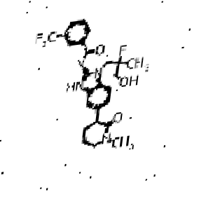 CN1CCCC(c2ccc3c(c2)[nH]c(=NC(=O)c2cccc(C(F)(F)F)c2)n3CC(C)(F)CO)C1=O